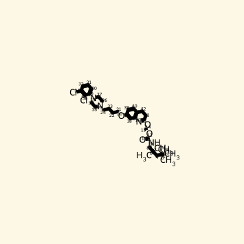 CC(C)(C)CC(C)(C)CNC(=O)OCOC1=Nc2cc(OCCCCN3CCN(c4cccc(Cl)c4Cl)CC3)ccc2CC1